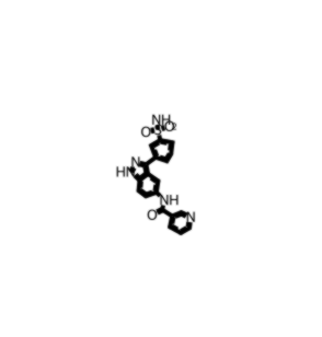 NS(=O)(=O)c1cccc(-c2n[nH]c3ccc(NC(=O)c4cccnc4)cc23)c1